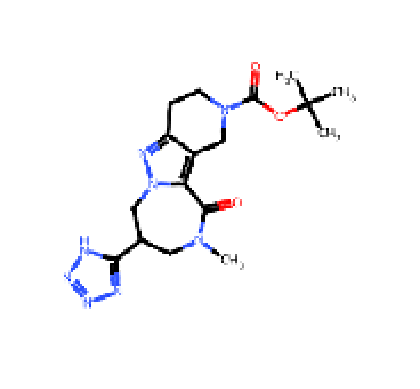 CN1CC(c2nnn[nH]2)Cn2nc3c(c2C1=O)CN(C(=O)OC(C)(C)C)CC3